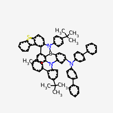 Cc1cc2c3c(c1)N(c1ccc(C(C)(C)C)cc1-c1ccccc1)c1cc(N(c4ccc(-c5ccccc5)cc4)c4ccc(-c5ccccc5)cc4)ccc1B3N(c1ccc(C(C)(C)C)cc1)c1ccc3sc4ccccc4c3c1-2